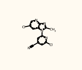 Cc1nc2ncc(Cl)cc2n1-c1cc(C#N)cc(Cl)n1